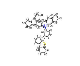 c1cc(-c2cccc3c2sc2ccccc23)cc(-n2c3cc4ccccc4cc3c3c4cccc5c4c(cc32)-c2ccccc2-5)c1